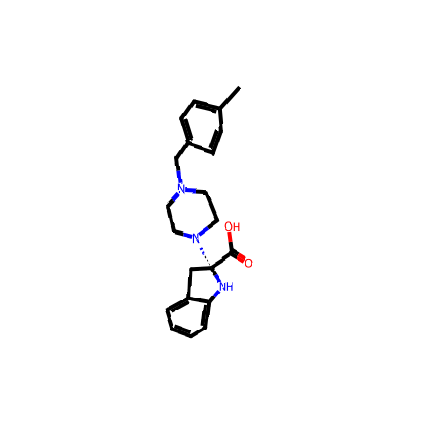 Cc1ccc(CN2CCN([C@@]3(C(=O)O)Cc4ccccc4N3)CC2)cc1